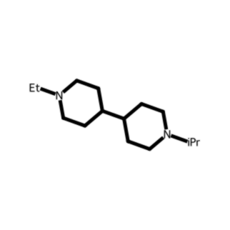 CCN1CCC(C2CCN(C(C)C)CC2)CC1